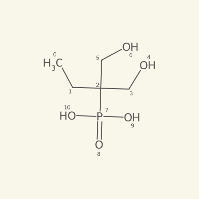 CCC(CO)(CO)P(=O)(O)O